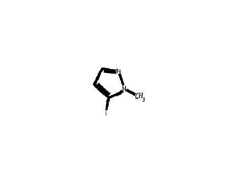 Cn1nccc1I